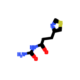 NC(=O)NC(=O)[CH]Cc1cscn1